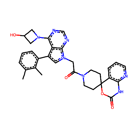 Cc1cccc(-c2cn(CC(=O)N3CCC4(CC3)OC(=O)Nc3ncccc34)c3ncnc(N4CC(O)C4)c23)c1C